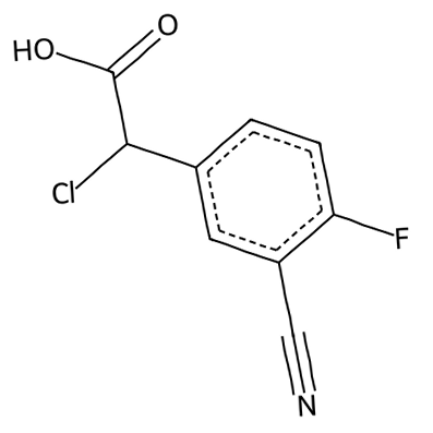 N#Cc1cc(C(Cl)C(=O)O)ccc1F